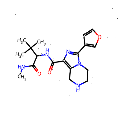 CNC(=O)C(NC(=O)c1nc(-c2ccoc2)n2c1CNCC2)C(C)(C)C